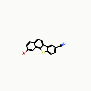 N#Cc1ccc2sc3c4cc(Br)ccc4ccc3c2c1